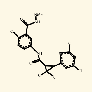 CNNC(=O)c1cc(NC(=O)C2C(c3cc(Cl)cc(Cl)c3)C2(Cl)Cl)ccc1Cl